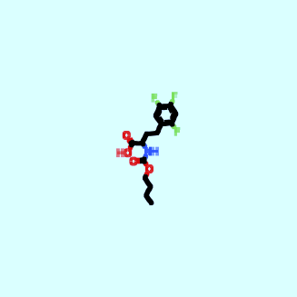 CCCCOC(=O)NC(CCc1cc(F)c(F)cc1F)C(=O)O